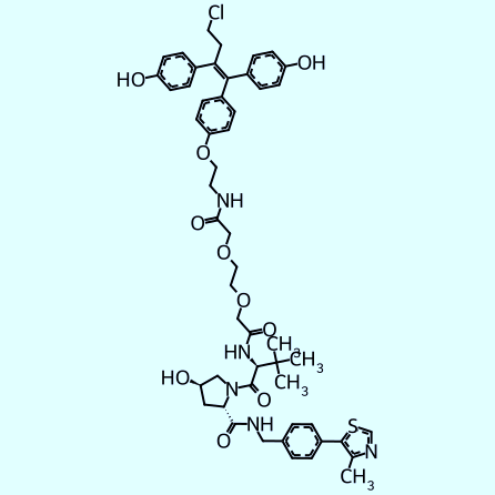 Cc1ncsc1-c1ccc(CNC(=O)[C@@H]2C[C@@H](O)CN2C(=O)[C@@H](NC(=O)COCCOCC(=O)NCCOc2ccc(C(=C(CCCl)c3ccc(O)cc3)c3ccc(O)cc3)cc2)C(C)(C)C)cc1